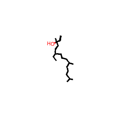 C=CC(C)(O)CCC(CC)CCCC(C)CCCC(C)C